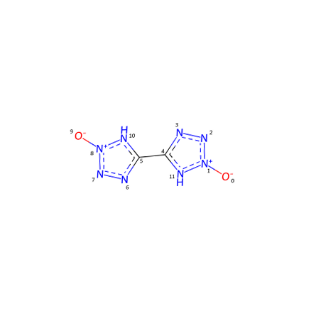 [O-][n+]1nnc(-c2nn[n+]([O-])[nH]2)[nH]1